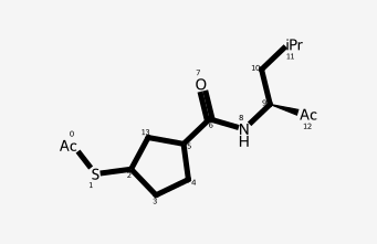 CC(=O)SC1CCC(C(=O)N[C@@H](CC(C)C)C(C)=O)C1